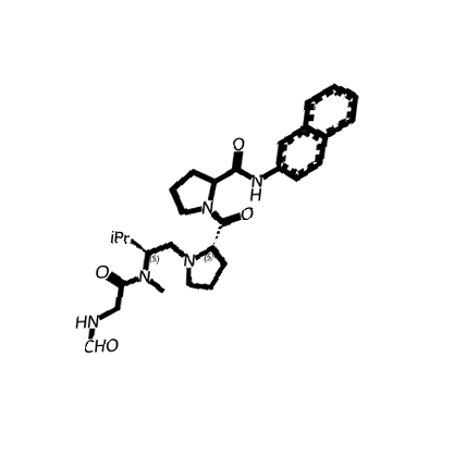 CC(C)[C@@H](CN1CCC[C@H]1C(=O)N1CCCC1C(=O)Nc1ccc2ccccc2c1)N(C)C(=O)CNC=O